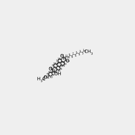 CCCCCCCCCCCCN1C(=O)c2ccc3c4ccc5c6c(ccc(c7ccc(c2c37)C1=O)c64)C(O)N(c1ccc(COC)cc1)C5=O